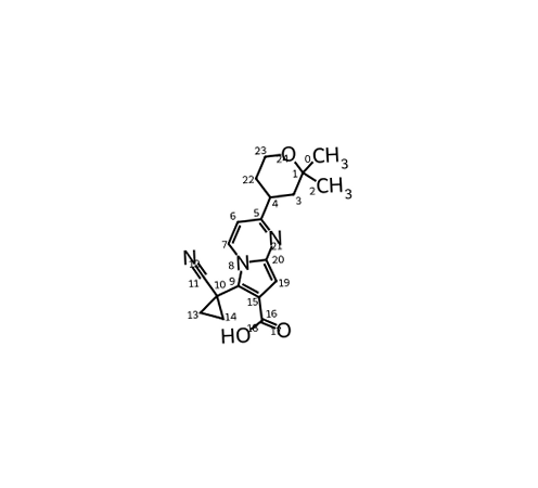 CC1(C)CC(c2ccn3c(C4(C#N)CC4)c(C(=O)O)cc3n2)CCO1